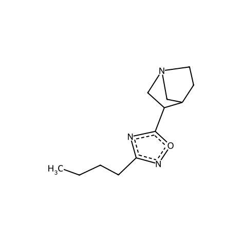 CCCCc1noc(C2CN3CCC2C3)n1